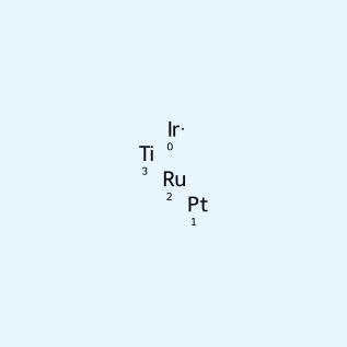 [Ir].[Pt].[Ru].[Ti]